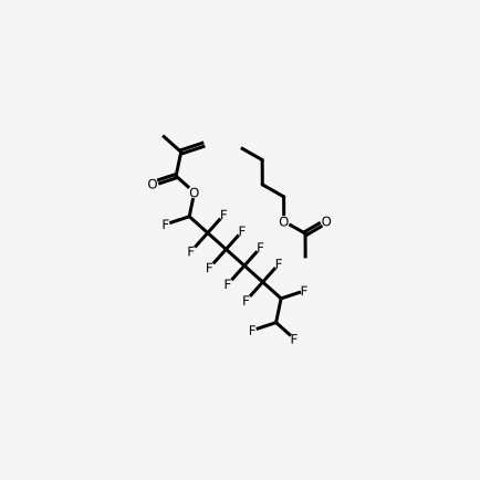 C=C(C)C(=O)OC(F)C(F)(F)C(F)(F)C(F)(F)C(F)(F)C(F)C(F)F.CCCCOC(C)=O